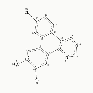 Cc1ccc(-c2n[c]ncc2-c2ccc(Cl)cc2)cc1Cl